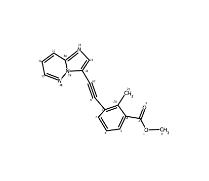 COC(=O)c1cccc(C#Cc2cnc3cccnn23)c1C